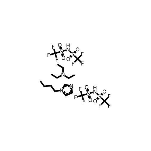 CCCCn1ccnc1.CCN(CC)CC.O=S(=O)(NS(=O)(=O)C(F)(F)F)C(F)(F)F.O=S(=O)(NS(=O)(=O)C(F)(F)F)C(F)(F)F